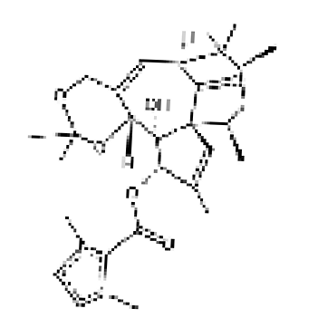 CC1=C[C@]23C(=O)[C@@H](C=C4COC(C)(C)O[C@H]4[C@]2(O)[C@H]1OC(=O)c1c(C)ccn1C)C(C)(C)[C@@H](C)C[C@H]3C